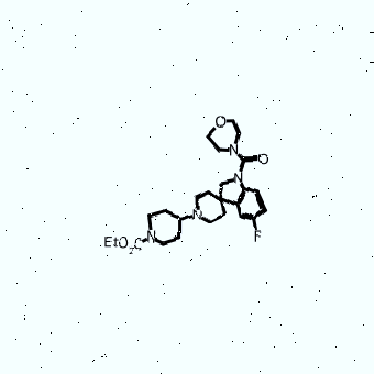 CCOC(=O)N1CCC(N2CCC3(CC2)CN(C(=O)N2CCOCC2)c2ccc(F)cc23)CC1